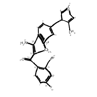 CC1=CSCC1c1ccc2c(N)c(C(=O)c3ccc(F)cc3Br)oc2c1